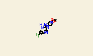 CC(C)(C)OC(=O)N1CCCC(n2nc(-c3cnn(Cc4cccc(C(F)F)c4)c3)c(C#N)c2N)CCC1